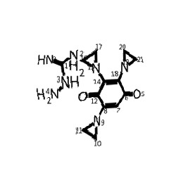 N=C(N)NN.O=C1C=C(N2CC2)C(=O)C(N2CC2)=C1N1CC1